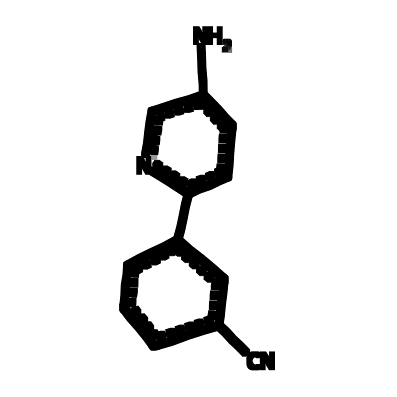 N#Cc1cccc(-c2ccc(N)cn2)c1